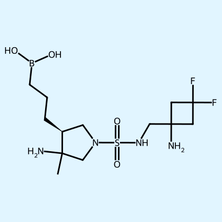 CC1(N)CN(S(=O)(=O)NCC2(N)CC(F)(F)C2)C[C@@H]1CCCB(O)O